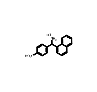 Cl.NC(c1ccc(C(=O)O)cc1)c1cccc2ccccc12